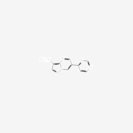 O=C(O)c1cnn2cc(-c3ccncn3)cnc12